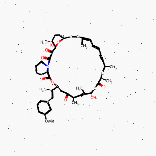 CO[C@H]1CCC[C@@H](C[C@@H](C)[C@@H]2CC(=O)[C@H](C)/C=C(\C)[C@@H](O)CC(=O)[C@H](C)C[C@H](C)/C=C/C=C/C=C(\C)CC[C@@H]3CC[C@@H](C)[C@@](O)(O3)C(=O)C(=O)N3CCCCC3C(=O)O2)C1